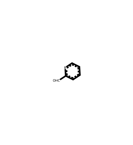 O=Cc1bcccc1